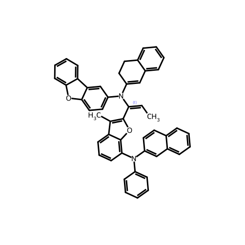 C/C=C(\c1oc2c(N(c3ccccc3)c3ccc4ccccc4c3)cccc2c1C)N(C1=Cc2ccccc2CC1)c1ccc2oc3ccccc3c2c1